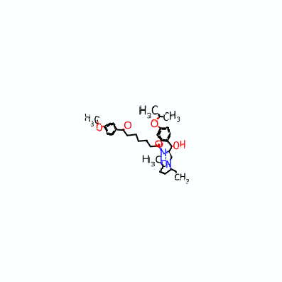 CCC1CCC(C)N1C[C@@H](NC(=O)CCCCCC(=O)c1ccc(OC)cc1)[C@H](O)c1ccc(OC(C)C)cc1